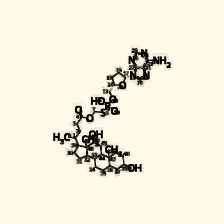 CC(CCC(=O)OCSP(=O)(O)OC[C@@H]1CC[C@H](n2cnc3c(N)ncnc32)O1)C1CCC2C3CCC4CC(O)CCC4(C)C3CC(O)C12C